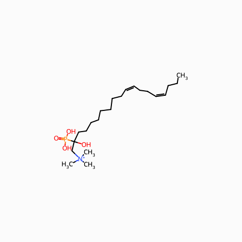 CCC/C=C\CC/C=C\CCCCCCCCC(O)(C[N+](C)(C)C)P(=O)(O)O